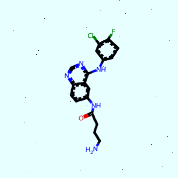 NCCCC(=O)Nc1ccc2ncnc(Nc3ccc(F)c(Cl)c3)c2c1